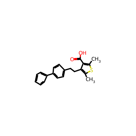 Cc1sc(C)c(C(=O)O)c1CCc1ccc(-c2ccccc2)cc1